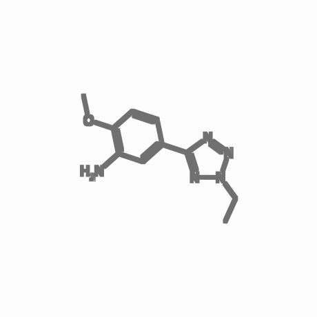 CCn1nnc(-c2ccc(OC)c(N)c2)n1